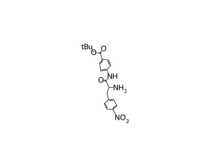 CC(C)(C)OC(=O)c1ccc(NC(=O)C(N)Cc2ccc([N+](=O)[O-])cc2)cc1